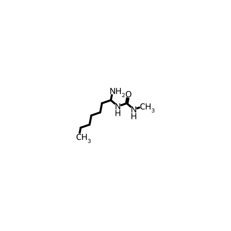 CCCCCCC(N)NC(=O)NC